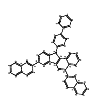 c1ccc(-c2ccc(-n3c4ccc(-c5ccc6ccccc6n5)cc4c4cc(-c5ccc6ccccc6n5)c5ccccc5c43)cn2)nc1